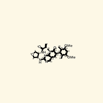 C=CC(=O)N[C@H]1COC[C@H]1Nc1ncc2cc(-c3c(C)c(OC)cc(OC)c3C)c(=O)n(C)c2n1